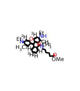 [2H]c1c([2H])c([2H])c(-c2c3cc(C)/c(=N/CC)c([2H])c-3oc3c([2H])c(NCC)c(C)cc23)c(C(=O)N(C)CCCCCC(=O)OC)c1[2H]